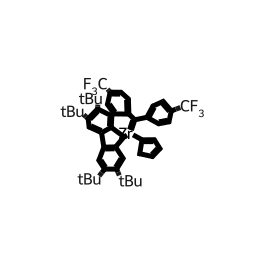 CC(C)(C)c1cc2c(cc1C(C)(C)C)[CH]([Zr]([C]1=CC=CC1)=[C](c1ccc(C(F)(F)F)cc1)c1ccc(C(F)(F)F)cc1)c1cc(C(C)(C)C)c(C(C)(C)C)cc1-2